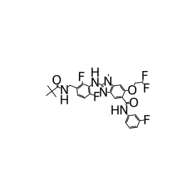 Cn1c(Nc2c(F)ccc(CNC(=O)C(C)(C)C)c2F)nc2cc(C(=O)Nc3cccc(F)c3)c(OCC(F)F)cc21